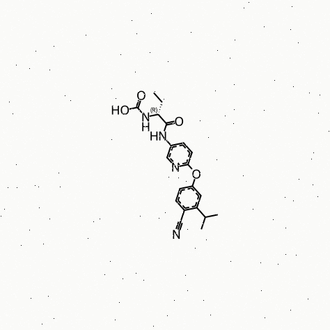 CC[C@@H](NC(=O)O)C(=O)Nc1ccc(Oc2ccc(C#N)c(C(C)C)c2)nc1